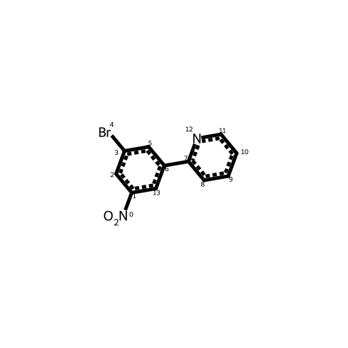 O=[N+]([O-])c1cc(Br)cc(-c2ccccn2)c1